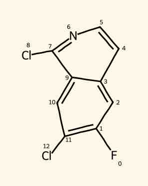 Fc1cc2ccnc(Cl)c2cc1Cl